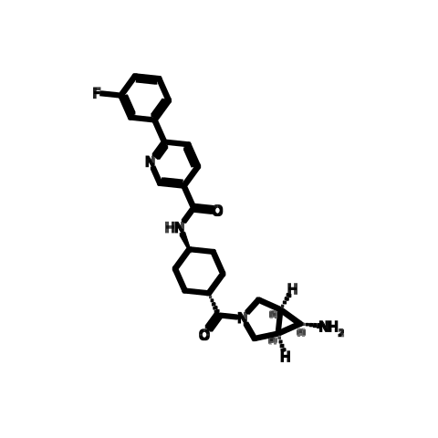 N[C@@H]1[C@H]2CN(C(=O)[C@H]3CC[C@H](NC(=O)c4ccc(-c5cccc(F)c5)nc4)CC3)C[C@@H]12